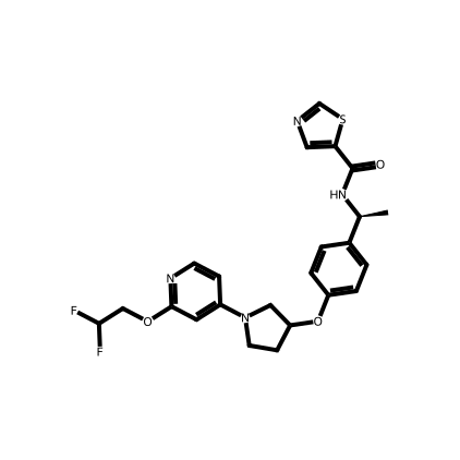 C[C@H](NC(=O)c1cncs1)c1ccc(OC2CCN(c3ccnc(OCC(F)F)c3)C2)cc1